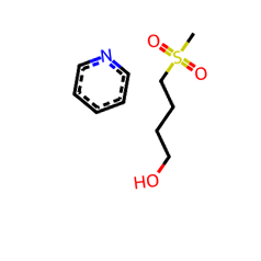 CS(=O)(=O)CCCCO.c1ccncc1